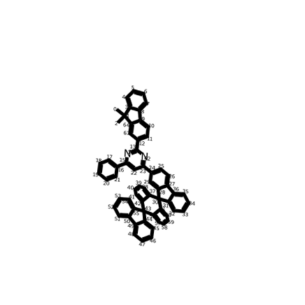 CC1(C)c2ccccc2-c2ccc(-c3nc(-c4ccccc4)cc(-c4ccc5c(c4)C4(c6ccccc6-5)c5ccccc5C5(c6ccccc6-c6ccccc65)c5ccccc54)n3)cc21